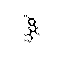 CC(=O)N(CC(=O)O)C(=O)C(Nc1ccc(O)cc1)C(C)C